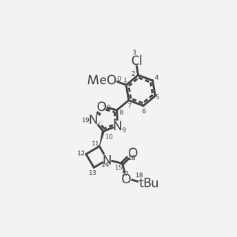 COc1c(Cl)cccc1-c1nc([C@@H]2CCN2C(=O)OC(C)(C)C)no1